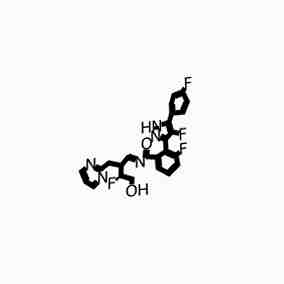 O=C(/N=C/C(Cc1ncccn1)[C@H](F)CO)c1cccc(F)c1-c1n[nH]c(-c2ccc(F)cc2)c1F